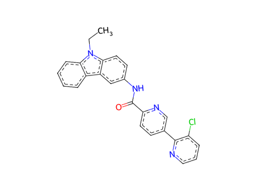 CCn1c2ccccc2c2cc(NC(=O)c3ccc(-c4ncccc4Cl)cn3)ccc21